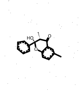 Cc1ccc2c(c1)C(=O)[C@@H](C)[C@](O)(c1ccccc1)O2